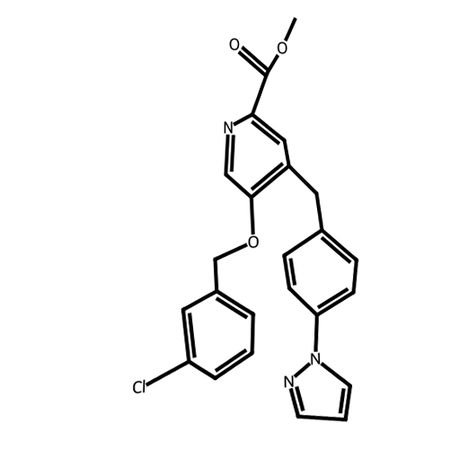 COC(=O)c1cc(Cc2ccc(-n3cccn3)cc2)c(OCc2cccc(Cl)c2)cn1